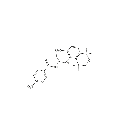 COc1ccc2c(c1NC(=S)NC(=O)c1ccc([N+](=O)[O-])cc1)C(C)(C)COC2(C)C